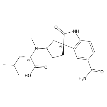 CC(C)C[C@@H](C(=O)O)N(C)N1CC[C@@]2(C1)C(=O)Nc1ccc(C(N)=O)cc12